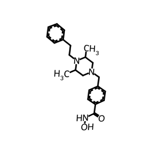 CC1CN(Cc2ccc(C(=O)NO)cc2)CC(C)N1CCc1ccccc1